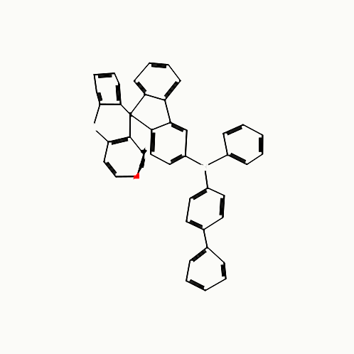 c1ccc(-c2ccc(N(c3ccccc3)c3ccc4c(c3)-c3ccccc3C43c4ccccc4Sc4ccc5ccccc5c43)cc2)cc1